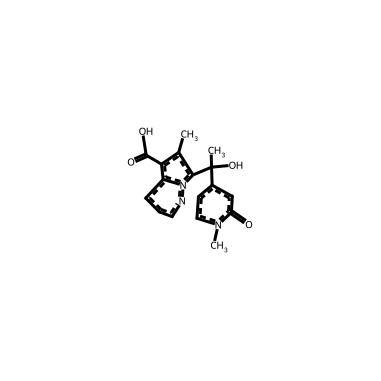 Cc1c(C(=O)O)c2cccnn2c1C(C)(O)c1ccn(C)c(=O)c1